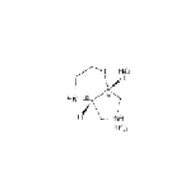 C1CO[C@@H]2CNC[C@@H]2N1.Cl.Cl